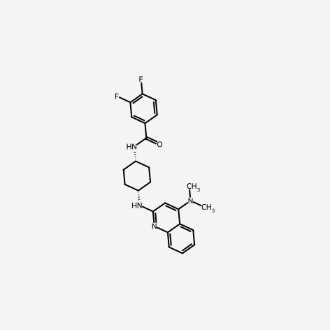 CN(C)c1cc(N[C@H]2CC[C@@H](NC(=O)c3ccc(F)c(F)c3)CC2)nc2ccccc12